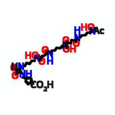 CC(=O)N(O)CCCCCNC(=O)CCC(=O)N(O)CCCCCNC(=O)CCC(=O)N(O)CCCCCNc1c(NCc2ccc(C(=O)O)cc2)c(=O)c1=O